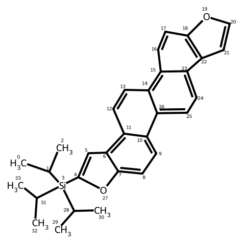 CC(C)[Si](c1cc2c(ccc3c2ccc2c4ccc5occc5c4ccc32)o1)(C(C)C)C(C)C